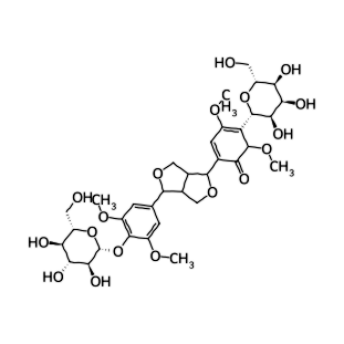 COC1=C([C@@H]2O[C@H](CO)[C@@H](O)[C@@H](O)[C@H]2O)C(OC)C(=O)C(C2OCC3C(c4cc(OC)c(O[C@H]5O[C@@H](CO)[C@H](O)[C@@H](O)[C@@H]5O)c(OC)c4)OCC23)=C1